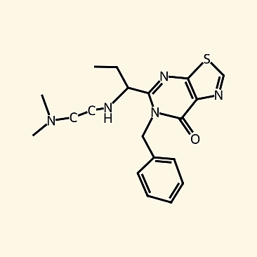 CCC(NCCN(C)C)c1nc2scnc2c(=O)n1Cc1ccccc1